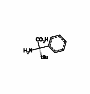 CC(C)(C)[C@](N)(C(=O)O)c1ccccc1